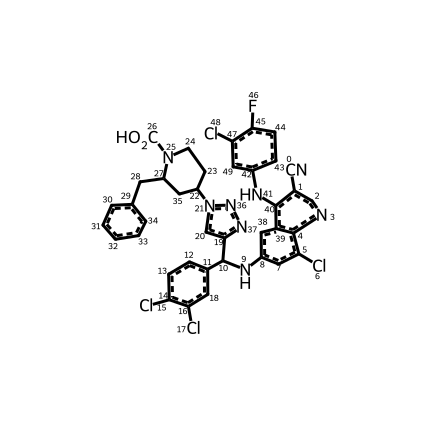 N#Cc1cnc2c(Cl)cc(NC(c3ccc(Cl)c(Cl)c3)c3cn(C4CCN(C(=O)O)C(Cc5ccccc5)C4)nn3)cc2c1Nc1ccc(F)c(Cl)c1